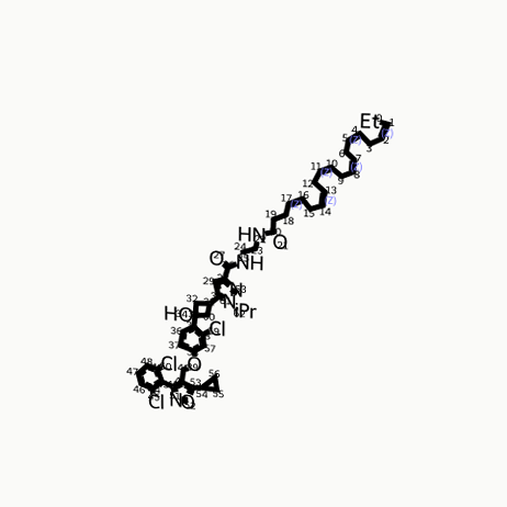 CC/C=C\C/C=C\C/C=C\C/C=C\C/C=C\C/C=C\CCC(=O)NCCNC(=O)c1cc(C2CC(O)(c3ccc(OCc4c(-c5c(Cl)cccc5Cl)noc4C4CC4)cc3Cl)C2)n(C(C)C)n1